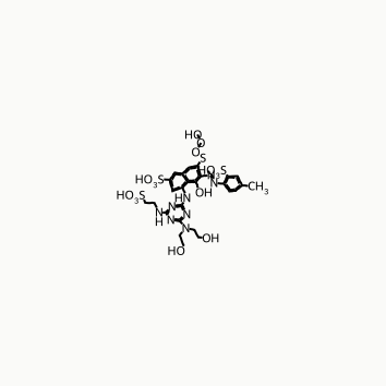 Cc1ccc(N=Nc2c(SOOO)cc3cc(S(=O)(=O)O)cc(Nc4nc(NCCS(=O)(=O)O)nc(N(CCO)CCO)n4)c3c2O)c(S(=O)(=O)O)c1